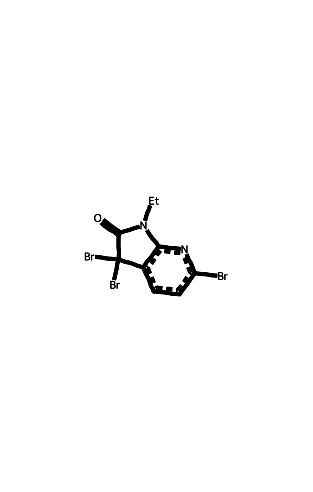 CCN1C(=O)C(Br)(Br)c2ccc(Br)nc21